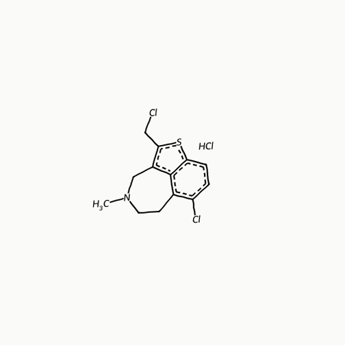 CN1CCc2c(Cl)ccc3sc(CCl)c(c23)C1.Cl